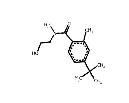 Cc1cc(C(C)(C)C)ccc1C(=O)N(C)CCO